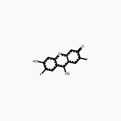 N#Cc1c2cc(F)c(=O)cc-2oc2cc(O)c(F)cc12